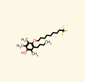 CCCCc1c(C)c(O)c(C)c(C)c1OCCCCCCCCC(F)(F)F